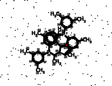 Cc1cc(C)cc(P(c2cc(C)cc(C)c2)c2ccccc2C2=CC=C[C@H]2[C@@H](C)P(c2cc(C)cc(C)c2)c2cc(C)cc(C)c2)c1